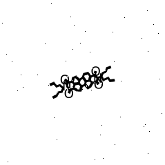 C=CCCC(CCC=C)N1C(=O)c2ccc3c4ccc5c6c(ccc(c7ccc(c2c37)C1=O)c64)C(=O)N(C(CCC=C)CCC=C)C5=O